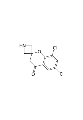 O=C1CC2(CNC2)Oc2c(Cl)cc(Cl)cc21